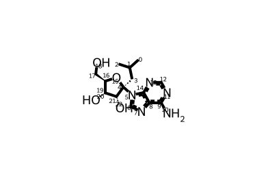 CC(C)C[C@@]1(n2cnc3c(N)ncnc32)O[C@H](CO)[C@@H](O)[C@H]1O